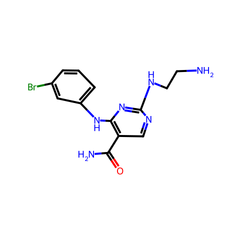 NCCNc1ncc(C(N)=O)c(Nc2cccc(Br)c2)n1